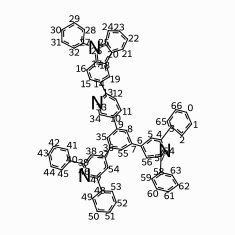 c1ccc(-c2cc(-c3cc(-c4ccc(-c5ccc6c(c5)c5ccccc5n6-c5ccccc5)nc4)cc(-c4cc(-c5ccccc5)nc(-c5ccccc5)c4)c3)cc(-c3ccccc3)n2)cc1